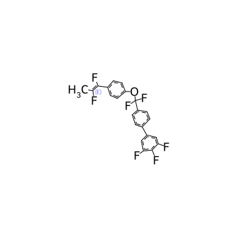 C/C(F)=C(\F)c1ccc(OC(F)(F)c2ccc(-c3cc(F)c(F)c(F)c3)cc2)cc1